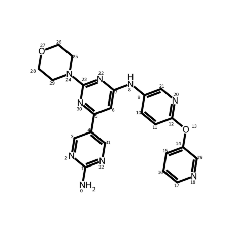 Nc1ncc(-c2cc(Nc3ccc(Oc4cccnc4)nc3)nc(N3CCOCC3)n2)cn1